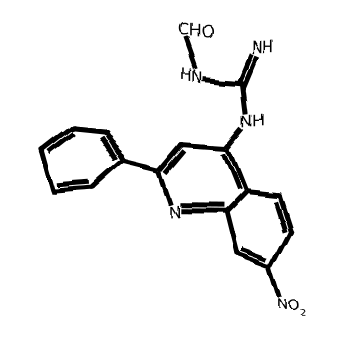 N=C(NC=O)Nc1cc(-c2ccccc2)nc2cc([N+](=O)[O-])ccc12